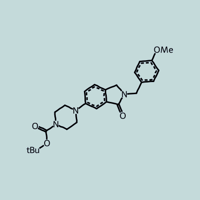 COc1ccc(CN2Cc3ccc(N4CCN(C(=O)OC(C)(C)C)CC4)cc3C2=O)cc1